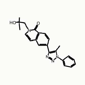 Cc1c(-c2ccc3c(=O)n(CC(C)(C)O)ccc3c2)nnn1-c1ccccc1